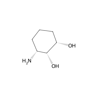 N[C@@H]1CCC[C@H](O)[C@@H]1O